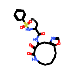 CC(C)CC(NS(=O)(=O)c1ccccc1)C(=O)NC1Cc2ncoc2CCCCCNC(=O)C1=O